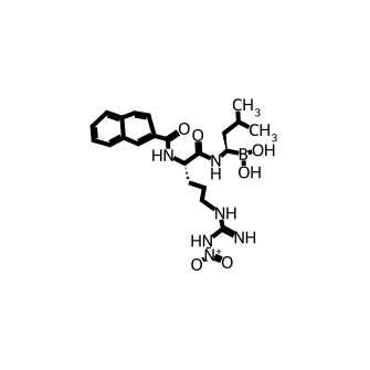 CC(C)C[C@H](NC(=O)[C@H](CCCNC(=N)N[N+](=O)[O-])NC(=O)c1ccc2ccccc2c1)B(O)O